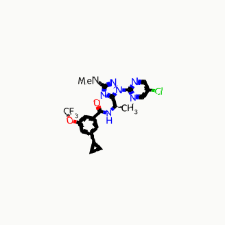 CNc1nc([C@H](C)NC(=O)c2cc(OC(F)(F)F)cc(C3CC3)c2)n(-c2ncc(Cl)cn2)n1